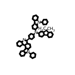 CC1(C)c2ccccc2-c2ccc(N(c3ccc(-c4nc5ccccc5c5c4ccc4c5c5ccccc5n4-c4ccccc4)cc3)c3ccc4c5ccccc5n(-c5ccccc5)c4c3)cc21